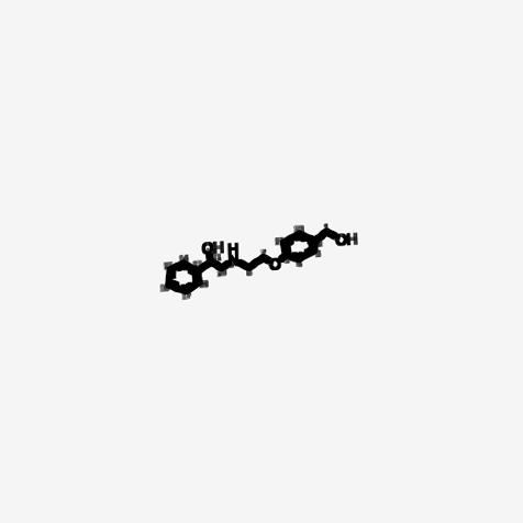 OCc1ccc(OCCNCC(O)c2ccccc2)cc1